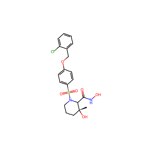 C[C@@]1(O)CCCN(S(=O)(=O)c2ccc(OCc3ccccc3Cl)cc2)C1C(=O)NO